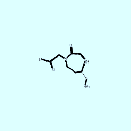 CCC(CC)CN1CC[C@@H](CN)NCC1=O